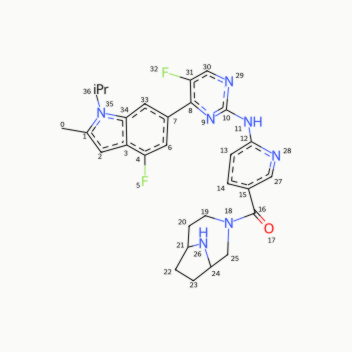 Cc1cc2c(F)cc(-c3nc(Nc4ccc(C(=O)N5CCC6CCC(C5)N6)cn4)ncc3F)cc2n1C(C)C